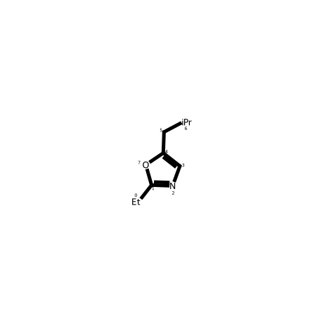 CCc1ncc(CC(C)C)o1